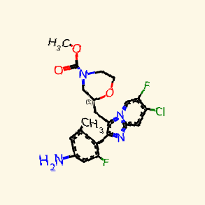 COC(=O)N1CCO[C@@H](Cc2c(-c3c(C)cc(N)cc3F)nc3cc(Cl)c(F)cn23)C1